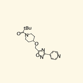 CC(C)(C)C(=O)N1CCC(OCc2nc(-c3ccncc3)no2)CC1